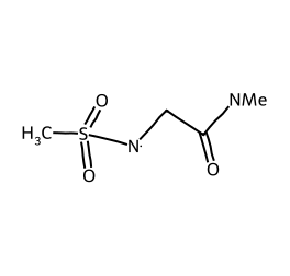 CNC(=O)C[N]S(C)(=O)=O